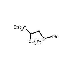 CCOC(=O)C(CSC(C)(C)C)C(=O)OCC